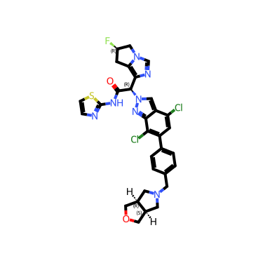 O=C(Nc1nccs1)[C@@H](c1ncn2c1C[C@@H](F)C2)n1cc2c(Cl)cc(-c3ccc(CN4C[C@H]5COC[C@H]5C4)cc3)c(Cl)c2n1